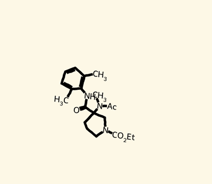 CCOC(=O)N1CCCC(C(=O)Nc2c(C)cccc2C)(N(C)C(C)=O)C1